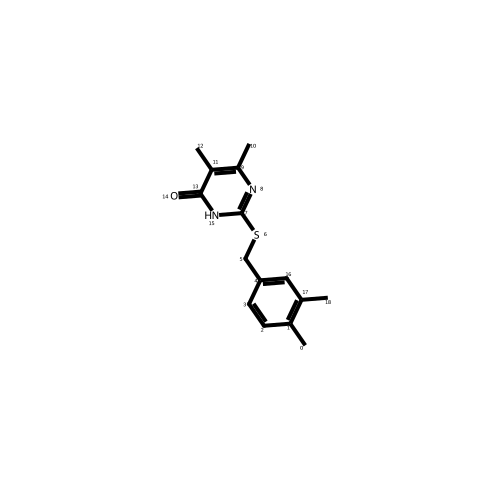 Cc1ccc(CSc2nc(C)c(C)c(=O)[nH]2)cc1C